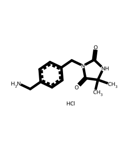 CC1(C)NC(=O)N(Cc2ccc(CN)cc2)C1=O.Cl